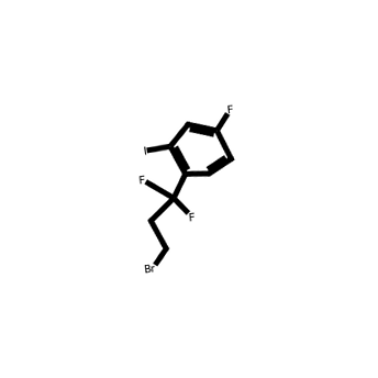 Fc1ccc(C(F)(F)CCBr)c(I)c1